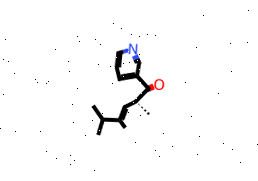 C/C(=C\[C@@H](C)C(=O)c1cccnc1)C(C)C